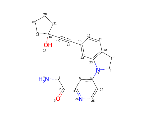 NCC(=O)c1cc(N2CCc3ccc(C#CC4(O)CCCC4)cc32)ccn1